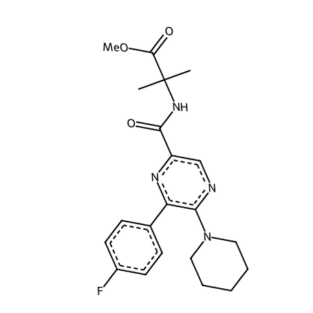 COC(=O)C(C)(C)NC(=O)c1cnc(N2CCCCC2)c(-c2ccc(F)cc2)n1